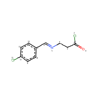 O=C(Cl)CC/N=C/c1ccc(Cl)cc1